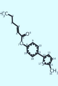 CCCC=CC(=O)Oc1ccc(-c2ccc(C)s2)cc1